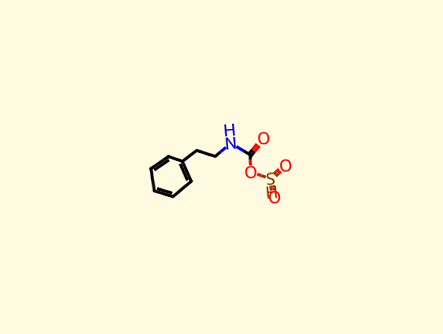 O=C(NCCc1ccccc1)O[SH](=O)=O